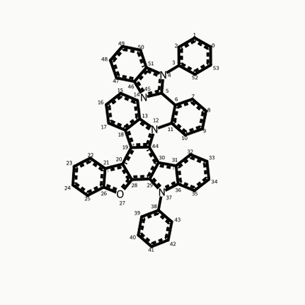 c1ccc(-n2c(-c3ccccc3-n3c4ccccc4c4c5c6ccccc6oc5c5c(c6ccccc6n5-c5ccccc5)c43)nc3ccccc32)cc1